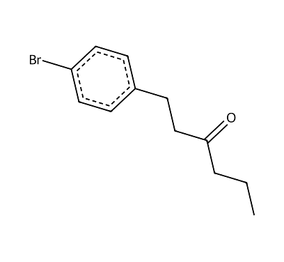 CCCC(=O)CCc1ccc(Br)cc1